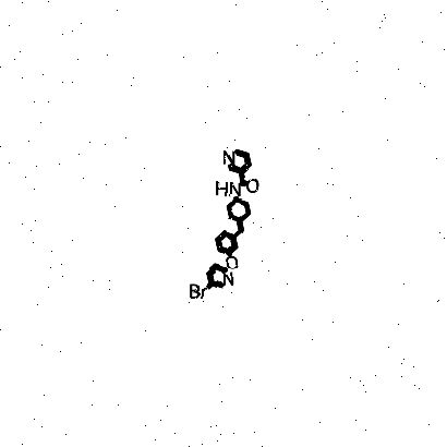 O=C(NC1CCC(=Cc2cccc(Oc3ccc(Br)cn3)c2)CC1)c1cccnc1